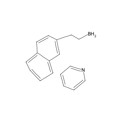 BCCc1ccc2ccccc2c1.c1ccncc1